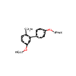 CCCCCCCCOc1ccc(C(=O)O)c(-c2ccc(OCCCCC)cc2)c1